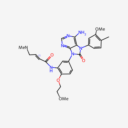 CNC/C=C/C(=O)Nc1cc(-n2c(=O)n(-c3ccc(C)c(OC)c3)c3c(N)ncnc32)ccc1OCCOC